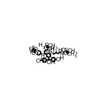 CC(C)(C)OC(=O)NCCCCNc1cc(C(O)(c2ccc(Cl)cc2)c2ccc(Cl)cc2)cc2c(NC3CCN(S(=O)(=O)C(F)(F)F)CC3)cc(OC(C)(C)C)nc12